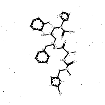 COC(=O)N(c1cncs1)[C@@H](Cc1ccccc1)[C@@H](O)C[C@H](Cc1ccccc1)NC(=O)[C@@H](NC(=O)N(C)Cc1csc(C(C)C)n1)C(C)C